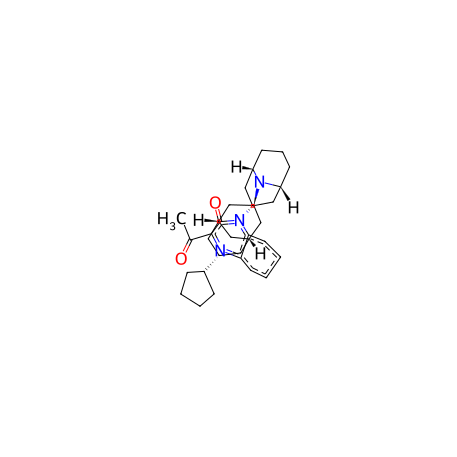 CC(=O)c1nc2ccccc2n([C@H]2C[C@H]3CCC[C@@H](C2)N3[C@@H]2C[C@@H]3C[C@@H](C[C@H](C4CCCC4)C3)C2)c1=O